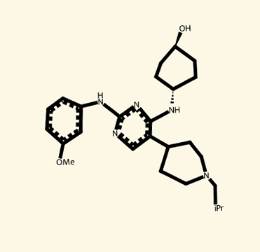 COc1cccc(Nc2ncc(C3CCN(CC(C)C)CC3)c(N[C@H]3CC[C@H](O)CC3)n2)c1